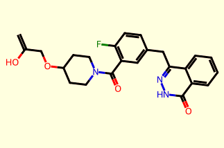 C=C(O)COC1CCN(C(=O)c2cc(Cc3n[nH]c(=O)c4ccccc34)ccc2F)CC1